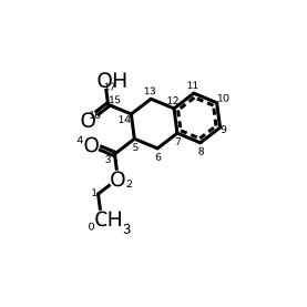 CCOC(=O)C1Cc2ccccc2CC1C(=O)O